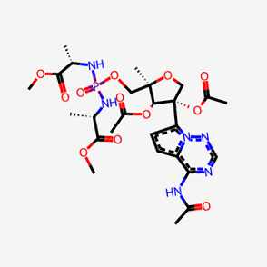 COC(=O)[C@H](C)NP(=O)(N[C@@H](C)C(=O)OC)OC[C@@]1(C)OC[C@@](OC(C)=O)(c2ccc3c(NC(C)=O)ncnn23)[C@@H]1OC(C)=O